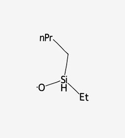 CCCC[SiH]([O])CC